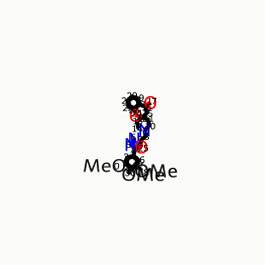 COc1cc(-c2nnc(CN3CCC4(CC3)CC(=O)c3ccccc3O4)o2)cc(OC)c1OC